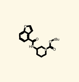 CC(C)(C)OC(=O)N1CCCC(NC(=O)c2cccc3occc23)C1